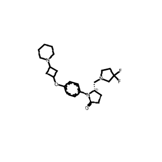 O=C1CC[C@@H](CN2CCC(F)(F)C2)N1c1ccc(OC2CC(N3CCCCC3)C2)cc1